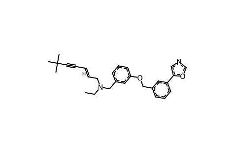 CCN(C/C=C/C#CC(C)(C)C)Cc1cccc(OCc2cccc(-c3cnco3)c2)c1